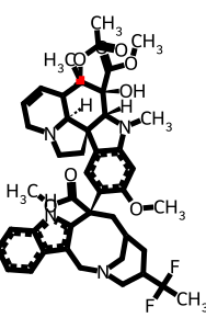 CC[C@]12C=CCN3CC[C@@]4(c5cc([C@@]6(C(=O)OC)CC7CC(C(C)(F)F)CN(Cc8c6[nH]c6ccccc86)C7)c(OC)cc5N(C)[C@H]4[C@@](O)(C(=O)OC)[C@@H]1OC(C)=O)[C@@H]32